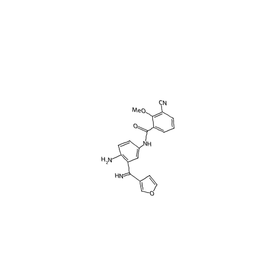 COc1c(C#N)cccc1C(=O)Nc1ccc(N)c(C(=N)c2ccoc2)c1